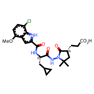 COc1ccc(Cl)c2[nH]c(C(=O)N[C@@H](CC3CC3)C(=O)NN3C(=O)[C@H](CCC(=O)O)CC3(C)C)cc12